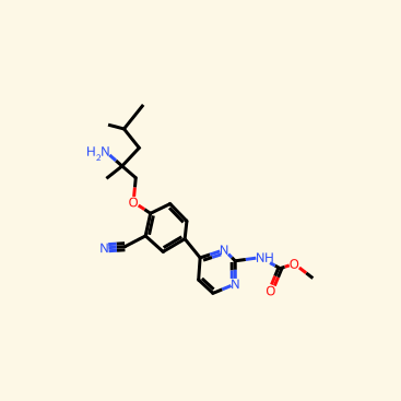 COC(=O)Nc1nccc(-c2ccc(OCC(C)(N)CC(C)C)c(C#N)c2)n1